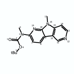 CN(C(=O)OC(C)(C)C)c1ccc2c3cnccc3n(C)c2n1